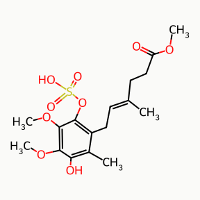 COC(=O)CC/C(C)=C/Cc1c(C)c(O)c(OC)c(OC)c1OS(=O)(=O)O